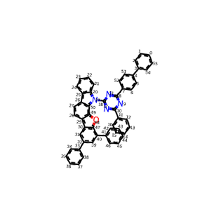 c1ccc(-c2ccc(-c3nc(-c4ccccc4)nc(-n4c5ccccc5c5ccc6c7cc(-c8ccccc8)cc(-c8ccccc8)c7oc6c54)n3)cc2)cc1